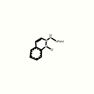 CCCCCNN1C=Cc2ccccc2[S+]1[O-]